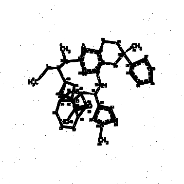 CC[C@@H](N(C)c1nc2c(c(N[C@@H](CN3C4CCCC3CCC4)c3cnn(C)c3)n1)C[C@](C)(c1ccccc1)CC2)C12CC(C(=O)O)(C1)C2